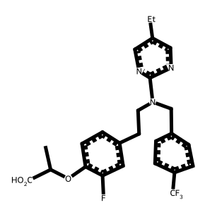 CCc1cnc(N(CCc2ccc(OC(C)C(=O)O)c(F)c2)Cc2ccc(C(F)(F)F)cc2)nc1